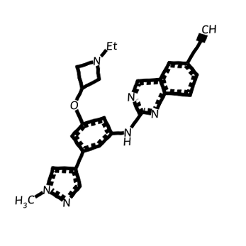 C#Cc1ccc2nc(Nc3cc(OC4CN(CC)C4)cc(-c4cnn(C)c4)c3)ncc2c1